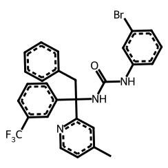 Cc1ccnc(C(Cc2ccccc2)(NC(=O)Nc2cccc(Br)c2)c2cccc(C(F)(F)F)c2)c1